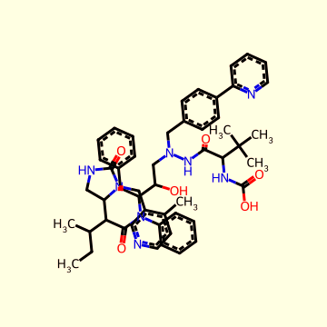 CCC(C)C(C(=O)N(c1ccccc1)C(Cc1ccccc1)C(O)CN(Cc1ccc(-c2ccccn2)cc1)NC(=O)C(NC(=O)O)C(C)(C)C)C1CNC(=O)N1Cc1cnccc1C